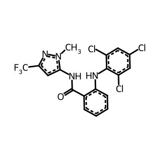 Cn1nc(C(F)(F)F)cc1NC(=O)c1ccccc1Nc1c(Cl)cc(Cl)cc1Cl